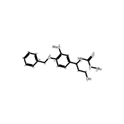 COc1cc(C(CCO)NC(=O)OC(C)(C)C)ccc1OCc1ccccc1